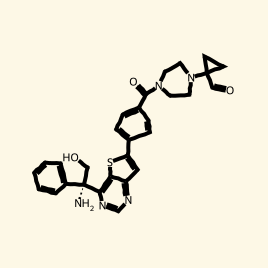 N[C@@](CO)(c1ccccc1)c1ncnc2cc(-c3ccc(C(=O)N4CCN(C5(C=O)CC5)CC4)cc3)sc12